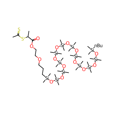 CCCC[Si](C)(C)O[Si](C)(C)O[Si](C)(C)O[Si](C)(C)O[Si](C)(C)O[Si](C)(C)O[Si](C)(C)O[Si](C)(C)O[Si](C)(C)O[Si](C)(C)O[Si](C)(C)O[Si](C)(C)CCCOCCOC(=O)C(C)SC(C)=S